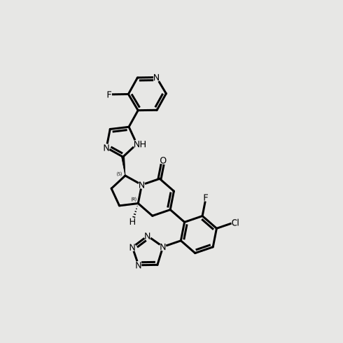 O=C1C=C(c2c(-n3cnnn3)ccc(Cl)c2F)C[C@H]2CC[C@@H](c3ncc(-c4ccncc4F)[nH]3)N12